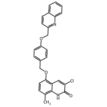 Cc1ccc(OCc2ccc(OCc3ccc4ccccc4n3)cc2)c2cc(Cl)c(=O)[nH]c12